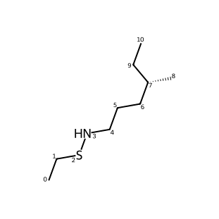 CCSNCCC[C@@H](C)CC